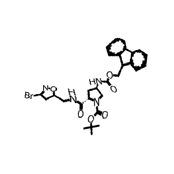 CC(C)(C)OC(=O)N1C[C@H](NC(=O)OCC2c3ccccc3-c3ccccc32)C[C@H]1C(=O)NCC1CC(Br)=NO1